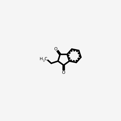 CCC1C(=O)c2ccccc2C1=O